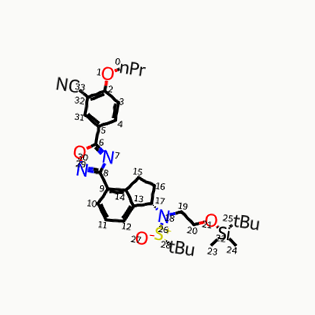 CCCOc1ccc(-c2nc(-c3cccc4c3CC[C@@H]4N(CCO[Si](C)(C)C(C)(C)C)[S@@+]([O-])C(C)(C)C)no2)cc1C#N